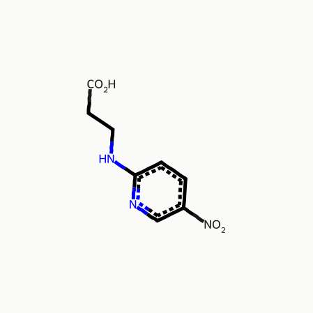 O=C(O)CCNc1ccc([N+](=O)[O-])cn1